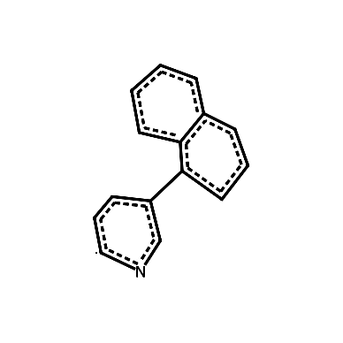 [c]1ccc(-c2cccc3ccccc23)cn1